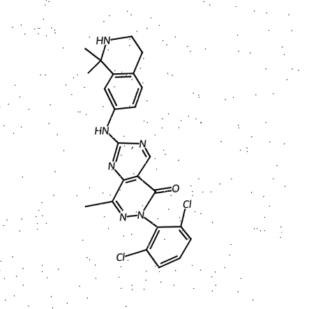 Cc1nn(-c2c(Cl)cccc2Cl)c(=O)c2cnc(Nc3ccc4c(c3)C(C)(C)NCC4)nc12